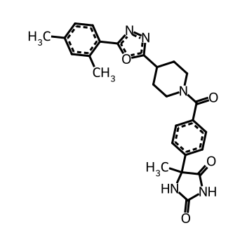 Cc1ccc(-c2nnc(C3CCN(C(=O)c4ccc(C5(C)NC(=O)NC5=O)cc4)CC3)o2)c(C)c1